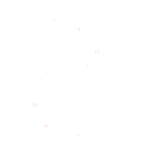 BP1(=S)OCC2OC(O)C(O)C2OP(B)(=S)OCC2OC(O)C(O)C2O1